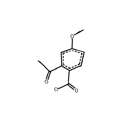 COc1ccc(C(=O)Cl)c(C(C)=O)c1